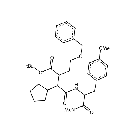 CNC(=O)C(Cc1ccc(OC)cc1)NC(=O)C(C1CCCC1)C(CCOCc1ccccc1)C(=O)OC(C)(C)C